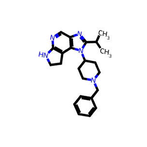 CC(C)c1nc2cnc3c(c2n1C1CCN(Cc2ccccc2)CC1)CCN3